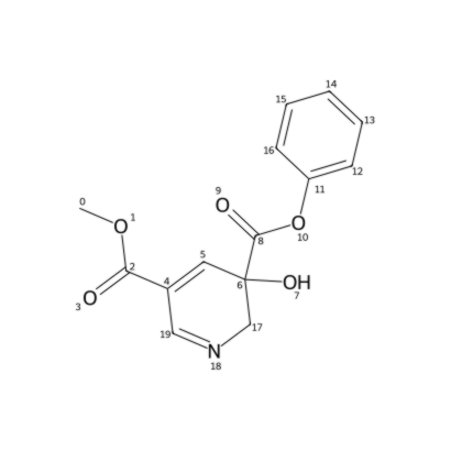 COC(=O)C1=CC(O)(C(=O)Oc2ccccc2)CN=C1